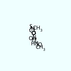 CC(=O)NC[C@H]1CN(c2ccc3c(c2)CCC(=S)N3C)C(=O)O1